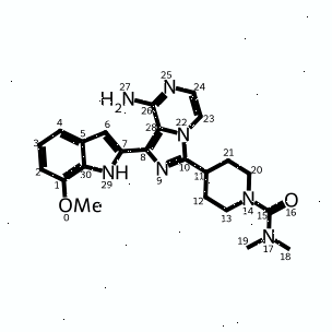 COc1cccc2cc(-c3nc(C4CCN(C(=O)N(C)C)CC4)n4ccnc(N)c34)[nH]c12